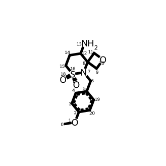 COc1ccc(CN2C3(COC3)C(N)CCS2(=O)=O)cc1